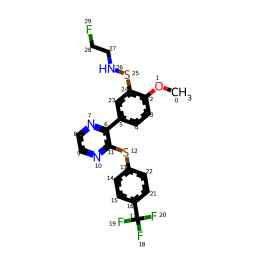 COc1ccc(-c2nccnc2Sc2ccc(C(F)(F)F)cc2)cc1SNCCF